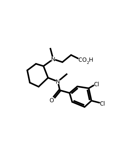 CN(CCC(=O)O)C1CCCCC1N(C)C(=O)c1ccc(Cl)c(Cl)c1